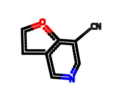 N#Cc1cncc2ccoc12